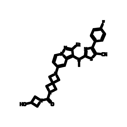 CCc1nn2ccc(N3CC4(CN(C(=O)N5CC(O)C5)C4)C3)cc2c1N(C)c1nc(-c2ccc(F)cc2)c(C#N)s1